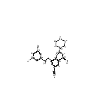 N#Cc1cc(CNc2cc(F)cc(F)c2)c2oc(N3CCOCC3)cc(=O)c2c1